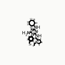 CCN1CCCC1CNC1=NC(NC2CCCCCC2)=NC(N)N1c1ccc(C)cc1